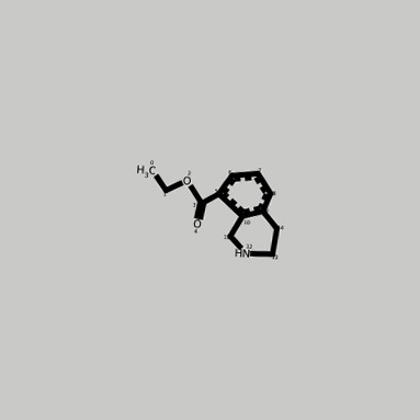 CCOC(=O)c1cccc2c1CNCC2